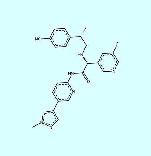 C[C@H](CN[C@H](C(=O)Nc1ccc(-c2cnn(C)c2)cn1)c1cncc(F)c1)c1ccc(C#N)cc1